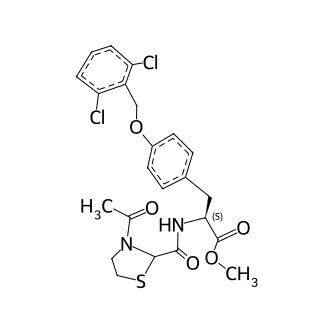 COC(=O)[C@H](Cc1ccc(OCc2c(Cl)cccc2Cl)cc1)NC(=O)C1SCCN1C(C)=O